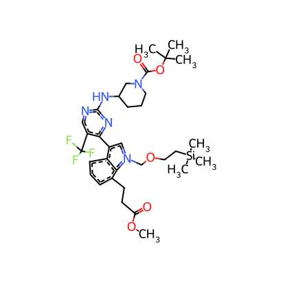 COC(=O)CCc1cccc2c(-c3nc(NC4CCCN(C(=O)OC(C)(C)C)C4)ncc3C(F)(F)F)cn(COCC[Si](C)(C)C)c12